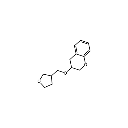 c1ccc2c(c1)CC(OCC1CCOC1)CO2